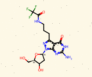 Nc1nc2c(c(CCCNC(=O)C(F)(F)F)nn2[C@H]2CC(O)[C@@H](CO)O2)c(=O)[nH]1